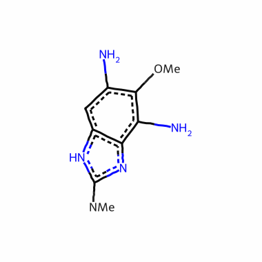 CNc1nc2c(N)c(OC)c(N)cc2[nH]1